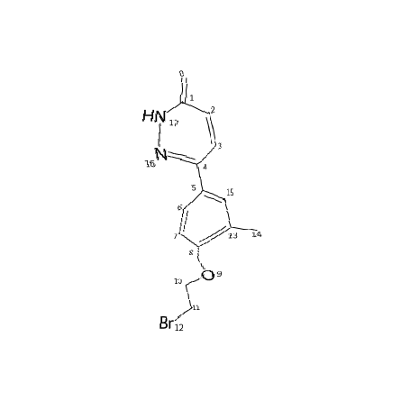 C=C1C=CC(c2ccc(OCCBr)c(C)c2)=NN1